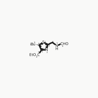 CCOC(=O)c1nc(CNC=O)sc1[C@@H](C)CC